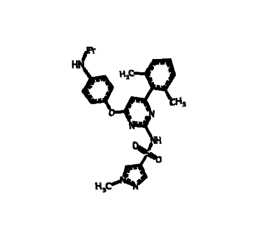 Cc1cccc(C)c1-c1cc(Oc2ccc(NC(C)C)cc2)nc(NS(=O)(=O)c2cnn(C)c2)n1